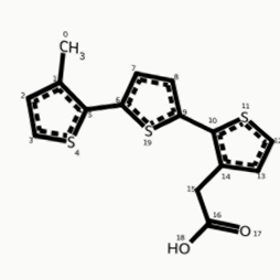 Cc1ccsc1-c1ccc(-c2sccc2CC(=O)O)s1